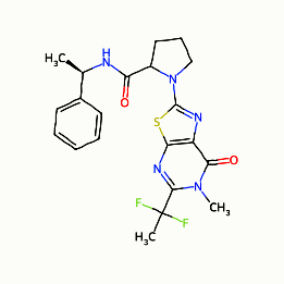 C[C@@H](NC(=O)C1CCCN1c1nc2c(=O)n(C)c(C(C)(F)F)nc2s1)c1ccccc1